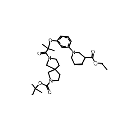 CCOC(=O)C1CCCN(c2cccc(OC(C)(C)C(=O)N3CCC4(CCN(C(=O)OC(C)(C)C)C4)C3)c2)C1